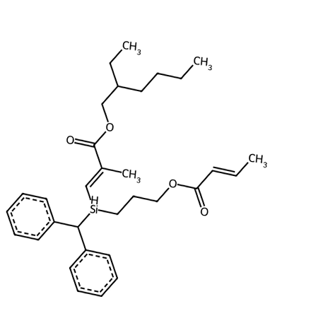 CC=CC(=O)OCCC[SiH](C=C(C)C(=O)OCC(CC)CCCC)C(c1ccccc1)c1ccccc1